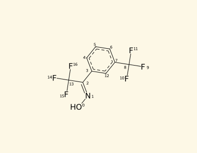 ON=C(c1cccc(C(F)(F)F)c1)C(F)(F)F